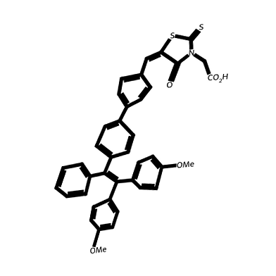 COc1ccc(C(=C(c2ccccc2)c2ccc(-c3ccc(C=C4SC(=S)N(CC(=O)O)C4=O)cc3)cc2)c2ccc(OC)cc2)cc1